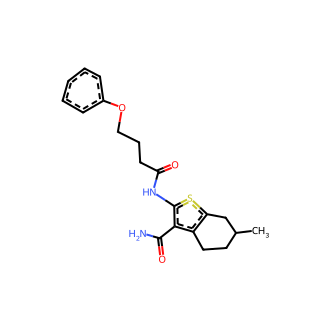 CC1CCc2c(sc(NC(=O)CCCOc3ccccc3)c2C(N)=O)C1